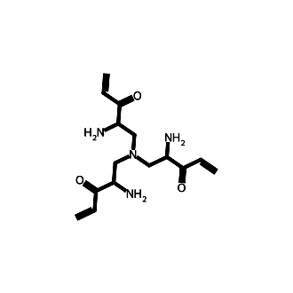 C=CC(=O)C(N)CN(CC(N)C(=O)C=C)CC(N)C(=O)C=C